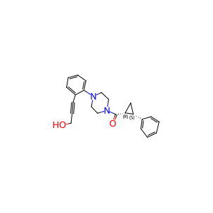 O=C([C@@H]1C[C@@H]1c1ccccc1)N1CCN(c2ccccc2C#CCO)CC1